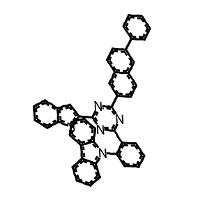 c1ccc(-c2ccc3cc(-c4nc(-c5cc6ccccc6s5)nc(-c5ccccc5-n5c6ccccc6c6ccccc65)n4)ccc3c2)cc1